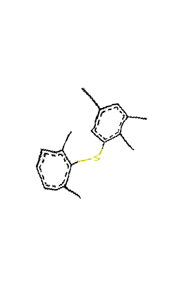 Cc1cc(C)c(C)c(Sc2c(C)cccc2C)c1